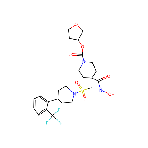 O=C(OC1CCOC1)N1CCC(CS(=O)(=O)N2CCC(c3ccccc3C(F)(F)F)CC2)(C(=O)NO)CC1